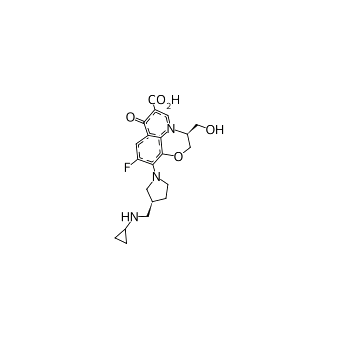 O=C(O)c1cn2c3c(c(N4CC[C@@H](CNC5CC5)C4)c(F)cc3c1=O)OC[C@@H]2CO